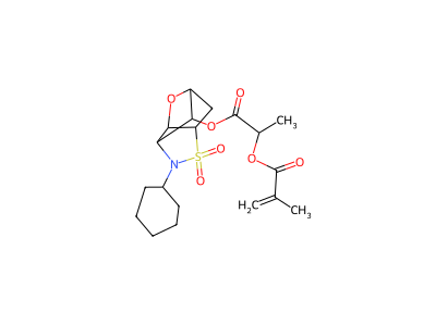 C=C(C)C(=O)OC(C)C(=O)OC1C2CC3C(O2)C1N(C1CCCCC1)S3(=O)=O